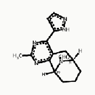 Cc1nc(-c2ccn[nH]2)c2c(n1)[C@H]1CCC[C@@H](C2)N1C=O